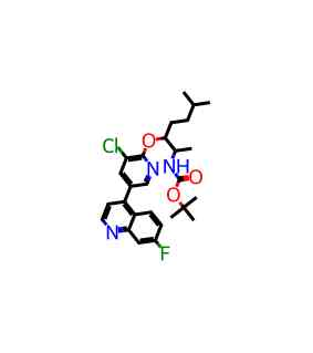 CC(C)CCC(Oc1ncc(-c2ccnc3cc(F)ccc23)cc1Cl)C(C)NC(=O)OC(C)(C)C